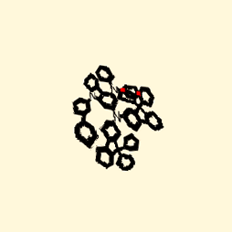 c1ccc(-c2cccc(-n3c4ccccc4c4c(N(c5ccccc5)c5ccccc5)cc(N(c5ccc6c(c5)C(c5ccccc5)(c5ccccc5)c5ccccc5-6)c5ccc6c(c5)C(c5ccccc5)(c5ccccc5)c5ccccc5-6)cc43)c2)cc1